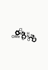 COc1cccc(Cl)c1-n1ncc2c1COC[C@H]2NC(=O)c1ncn2c1CCCC2